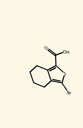 O=C(O)c1sc(Br)c2c1CCCC2